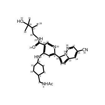 CC(=O)NCC1CCC(Nc2cc(-c3ccc4cc(C#N)cnn34)ncc2C(=O)NCC(F)C(C)(C)O)CC1